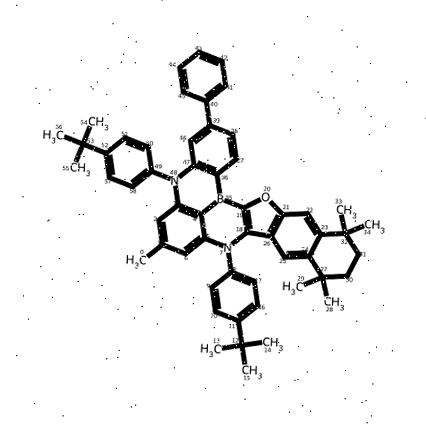 Cc1cc2c3c(c1)N(c1ccc(C(C)(C)C)cc1)c1c(oc4cc5c(cc14)C(C)(C)CCC5(C)C)B3c1ccc(-c3ccccc3)cc1N2c1ccc(C(C)(C)C)cc1